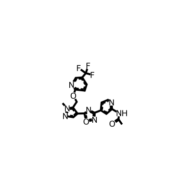 CC(=O)Nc1cc(-c2noc(-c3cnn(C)c3COc3ccc(C(F)(F)F)cn3)n2)ccn1